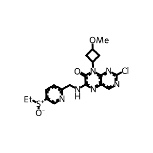 CC[S+]([O-])c1ccc(CNc2nc3cnc(Cl)nc3n(C3CC(OC)C3)c2=O)nc1